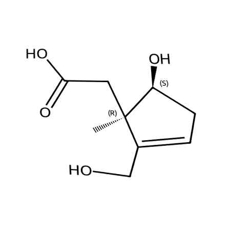 C[C@@]1(CC(=O)O)C(CO)=CC[C@@H]1O